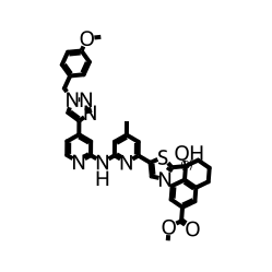 COC(=O)c1ccc2c(c1)CCC[C@]2(O)c1ncc(-c2cc(C)cc(Nc3cc(-c4cn(Cc5ccc(OC)cc5)nn4)ccn3)n2)s1